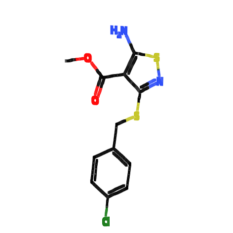 COC(=O)c1c(SCc2ccc(Cl)cc2)nsc1N